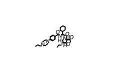 CCC[C@@H]1CN(C(=O)[C@@H](NC(=O)c2ccc(N3CCN(CCC)CC3)cc2)C2CCCCC2)[C@@H]2C(=O)CO[C@H]12